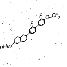 CCCCCCC1CCC2CC(c3ccc(-c4ccc(OCC(F)(F)F)c(F)c4)c(F)c3)CCC2C1